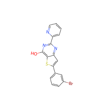 Oc1nc(-c2ccccn2)nc2cc(-c3cccc(Br)c3)sc12